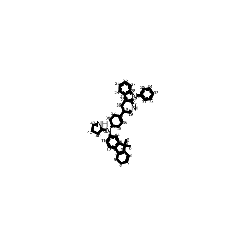 CC1(C)C2=C(CCC=C2)c2ccc(N(C3CC=C(C4C=Nc5c(c6ccccc6n5-c5ccccc5)C4)CC3)C3CCCN3)cc21